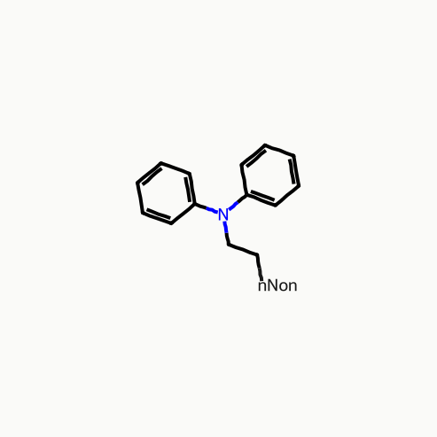 CCCCCCCCCCCN(c1ccccc1)c1ccccc1